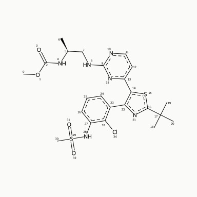 COC(=O)N[C@@H](C)CNc1nccc(-c2sc(C(C)(C)C)nc2-c2cccc(NS(C)(=O)=O)c2Cl)n1